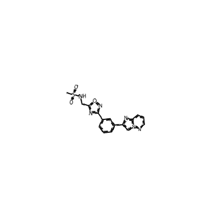 CS(=O)(=O)NCc1nc(-c2cccc(-c3cn4ncccc4n3)c2)no1